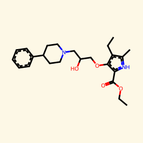 CCOC(=O)c1[nH]c(C)c(CC)c1OCC(O)CN1CCC(c2ccccc2)CC1